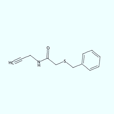 C#CCNC(=O)CSCc1ccccc1